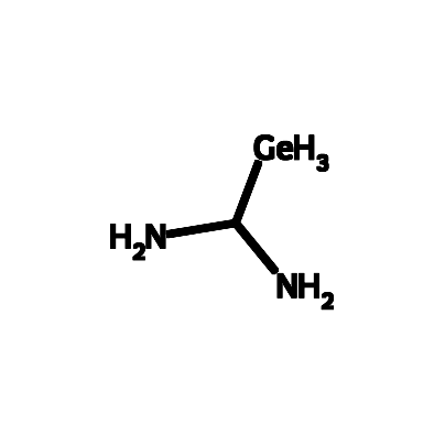 N[CH](N)[GeH3]